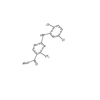 COC(=O)c1cnc(Nc2cc(Cl)ccc2Cl)nc1C(F)(F)F